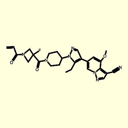 C=CC(=O)N1CC(F)(C(=O)N2CCC(n3ncc(-c4cc(OC)c5c(C#N)cnn5c4)c3CC)CC2)C1